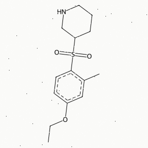 CCOc1ccc(S(=O)(=O)C2CCCNC2)c(C)c1